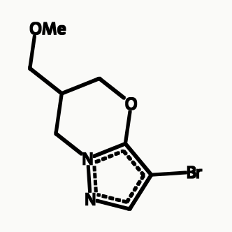 COCC1COc2c(Br)cnn2C1